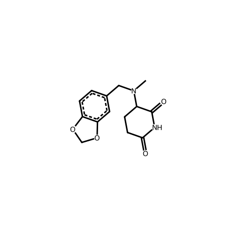 CN(Cc1ccc2c(c1)OCO2)C1CCC(=O)NC1=O